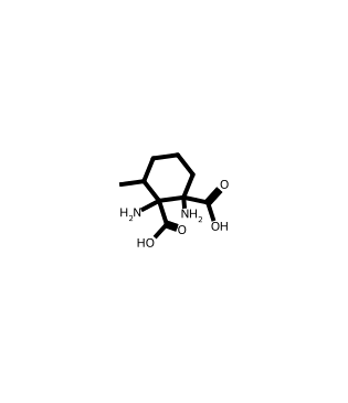 CC1CCCC(N)(C(=O)O)C1(N)C(=O)O